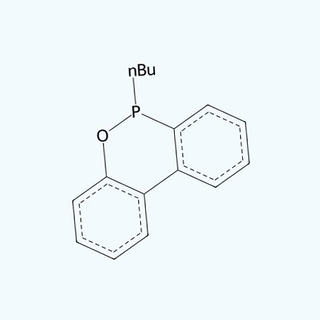 CCCCP1Oc2ccccc2-c2ccccc21